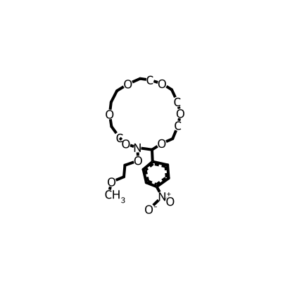 COCCON1OCCOCCOCCOCCOCCOC1c1ccc([N+](=O)[O-])cc1